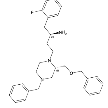 N[C@@H](CCN1CCN(Cc2ccccc2)C[C@H]1COCc1ccccc1)Cc1ccccc1F